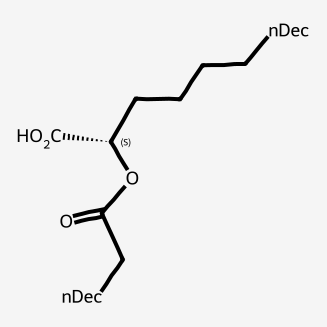 CCCCCCCCCCCCCC[C@H](OC(=O)CCCCCCCCCCC)C(=O)O